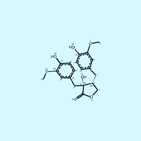 COc1cc(C[C@@H]2COC(=O)[C@@]2(O)Cc2ccc(O)c(OC)c2)ccc1O